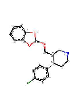 Fc1ccc([C@H]2CCNC[C@@H]2COC2Oc3ccccc3O2)cc1